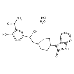 Cl.NC(=O)c1cc(C(O)CN2CCC(n3c(=O)[nH]c4ccccc43)CC2)ccc1O.O